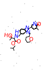 Cc1cc(-c2nc3ccc(CNC(C(=O)OCC(C)C)C(C)O)cc3n2CC2CCCCO2)cn(C)c1=O